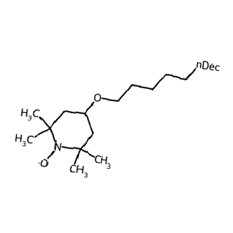 CCCCCCCCCCCCCCCOC1CC(C)(C)N([O])C(C)(C)C1